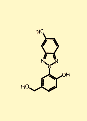 N#Cc1ccc2nn(-c3cc(CO)ccc3O)nc2c1